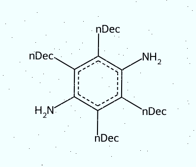 CCCCCCCCCCc1c(N)c(CCCCCCCCCC)c(CCCCCCCCCC)c(N)c1CCCCCCCCCC